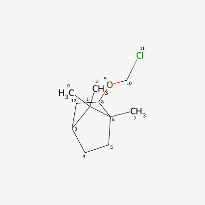 CC1(C)C2CCC1(C)C(OCCl)C2